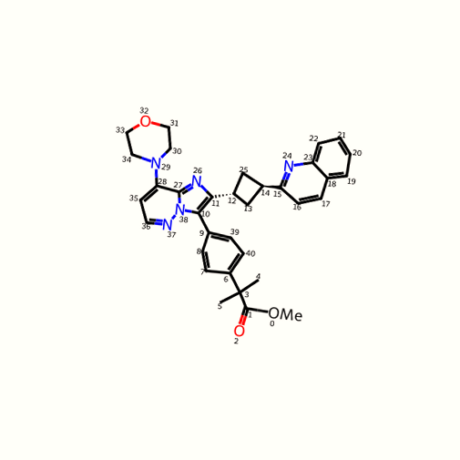 COC(=O)C(C)(C)c1ccc(-c2c([C@H]3C[C@H](c4ccc5ccccc5n4)C3)nc3c(N4CCOCC4)ccnn23)cc1